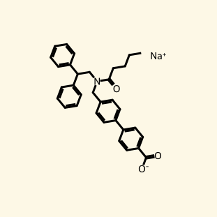 CCCCC(=O)N(Cc1ccc(-c2ccc(C(=O)[O-])cc2)cc1)CC(c1ccccc1)c1ccccc1.[Na+]